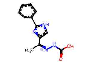 C/C(=N/NC(=O)O)c1c[nH]c(-c2ccccc2)n1